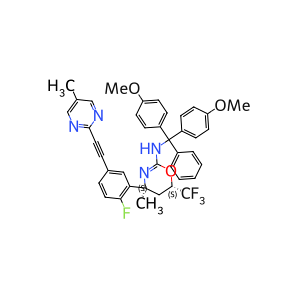 COc1ccc(C(NC2=N[C@](C)(c3cc(C#Cc4ncc(C)cn4)ccc3F)C[C@@H](C(F)(F)F)O2)(c2ccccc2)c2ccc(OC)cc2)cc1